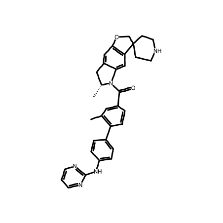 Cc1cc(C(=O)N2c3cc4c(cc3C[C@H]2C)OCC42CCNCC2)ccc1-c1ccc(Nc2ncccn2)cc1